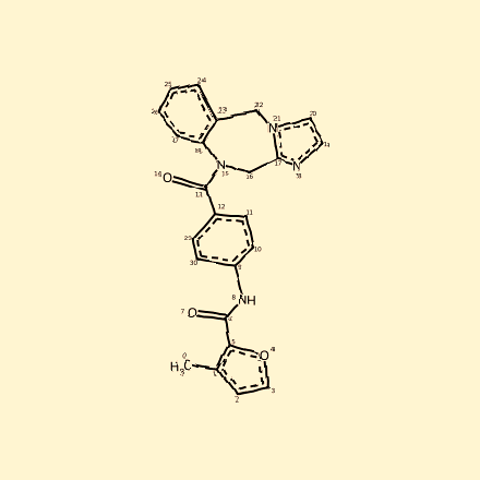 Cc1ccoc1C(=O)Nc1ccc(C(=O)N2Cc3nccn3Cc3ccccc32)cc1